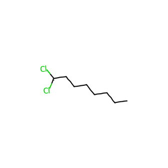 CCCCCCC[C](Cl)Cl